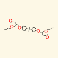 CCCCOCC(COc1ccc(C(C)(C)c2ccc(OCC(COCCCC)CC3CO3)cc2)cc1)CC1CO1